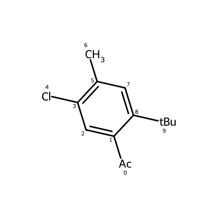 CC(=O)c1cc(Cl)c(C)cc1C(C)(C)C